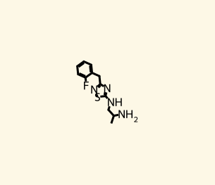 CC(N)CNc1nc(Cc2ccccc2F)ns1